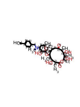 C#Cc1ccc(CN(C)[C@H]2C[C@@H](C)O[C@@H](O[C@@H]3[C@@H](C)[C@H](O)[C@@H](C)C(=O)O[C@H](CC)[C@@](C)(O)[C@H](O)[C@@H](C)C(=O)C[C@@H](C)[C@@]3(C)OC)[C@H]2O)cc1